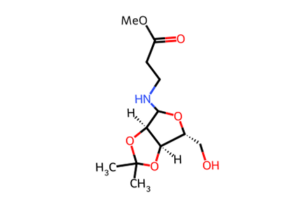 COC(=O)CCNC1O[C@H](CO)[C@H]2OC(C)(C)O[C@@H]12